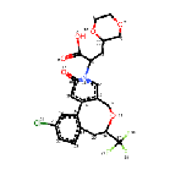 O=C(O)C(C[C@@H]1COCCO1)n1cc2c(cc1=O)-c1cc(Cl)ccc1CC(C(F)(F)F)OC2